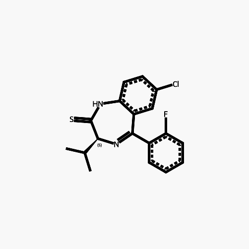 CC(C)[C@@H]1N=C(c2ccccc2F)c2cc(Cl)ccc2NC1=S